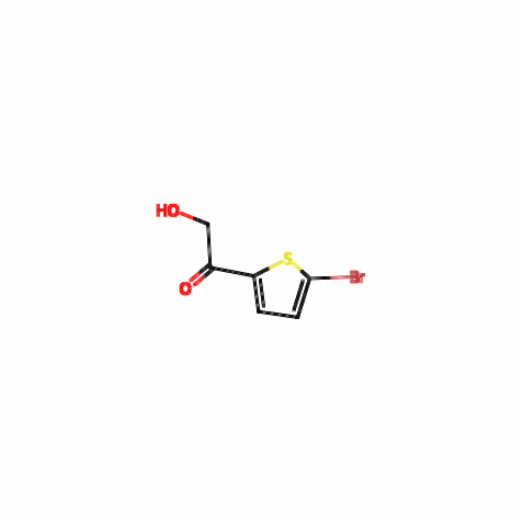 O=C(CO)c1ccc(Br)s1